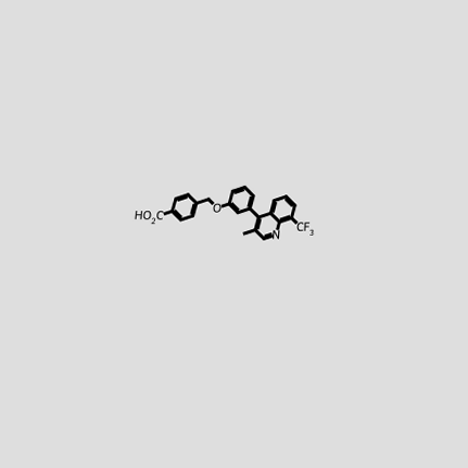 Cc1cnc2c(C(F)(F)F)cccc2c1-c1cccc(OCc2ccc(C(=O)O)cc2)c1